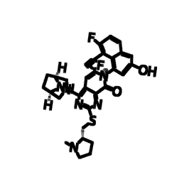 C#Cc1c(F)ccc2cc(O)cc(-n3c(C(F)(F)F)cc4c(N5C[C@H]6CC[C@@H](C5)N6)nc(SC[C@@H]5CCCN5C)nc4c3=O)c12